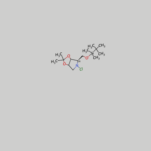 CC1(C)OC2CN(Cl)[C@H](CO[Si](C)(C)C(C)(C)C)C2O1